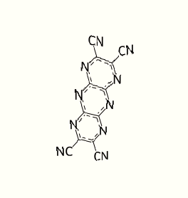 N#Cc1nc2nc3nc(C#N)c(C#N)nc3nc2nc1C#N